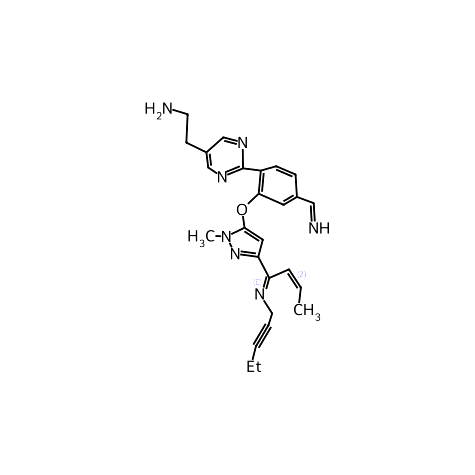 C/C=C\C(=N/CC#CCC)c1cc(Oc2cc(C=N)ccc2-c2ncc(CCN)cn2)n(C)n1